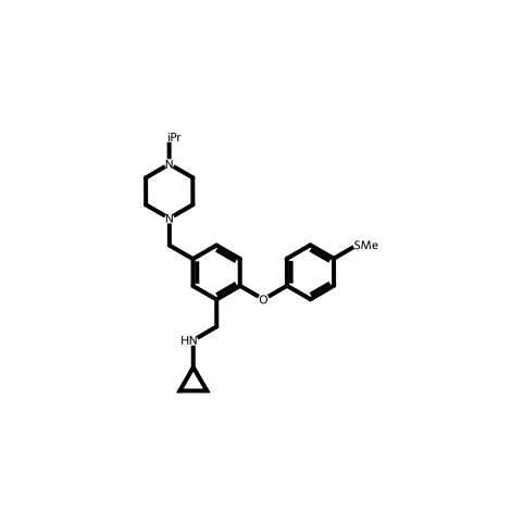 CSc1ccc(Oc2ccc(CN3CCN(C(C)C)CC3)cc2CNC2CC2)cc1